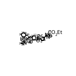 CCOC(=O)c1nc(-c2ccc(S(=O)(=O)N3CCN([C@@H](CC4CCCCC4)C(=O)Nc4nccs4)C(=O)C3)s2)no1